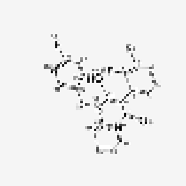 O=c1c(-c2cccc(F)c2F)c(O)n(Cc2ccc(F)nc2)c2cccc[n+]12